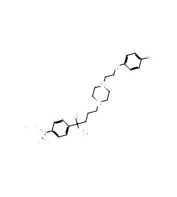 CC(C)C(C#N)(CCCN1CCN(CCOc2ccc(F)cc2)CC1)c1ccc(N(C)C)cc1